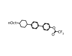 CCCCCCCCC1CCC(c2ccc(-c3ccc(OC(=O)C(F)(F)F)cc3)cc2)CC1